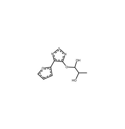 CC(O)C(O)Oc1nsnc1-c1ccco1